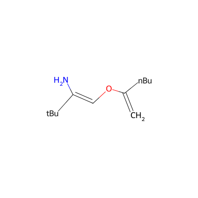 C=C(CCCC)O/C=C(\N)C(C)(C)C